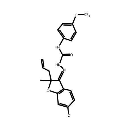 C=CCC1(C)Oc2cc(Cl)ccc2C1=NNC(=O)Nc1ccc(OC(F)(F)F)cc1